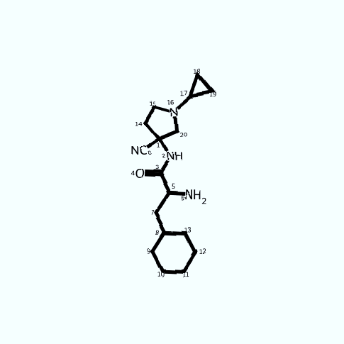 N#CC1(NC(=O)C(N)CC2CCCCC2)CCN(C2CC2)C1